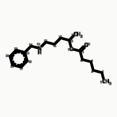 CCCCCC(=O)OC(C)CCCNCc1ccccc1